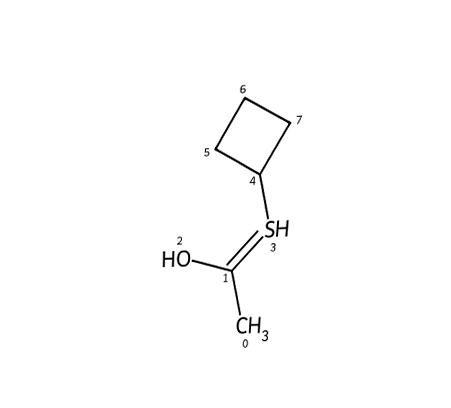 CC(O)=[SH]C1CCC1